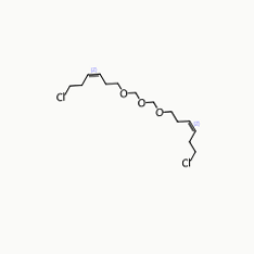 ClCC/C=C\CCOCOCOCC/C=C\CCCl